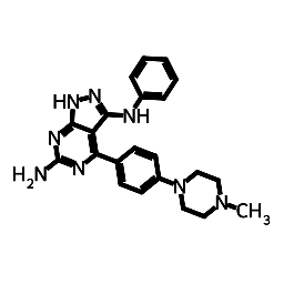 CN1CCN(c2ccc(-c3nc(N)nc4[nH]nc(Nc5ccccc5)c34)cc2)CC1